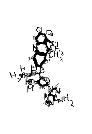 CC1(C)C2=C(Cl)C(=O)C(Cl)=CC2=Nc2ccc(OC(PPPP)[C@H]3O[C@@H](n4cnc5c(N)ncnc54)C[C@@H]3O)cc21